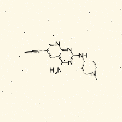 CC#Cc1cnc2nc(NC3CCN(C)CC3)nc(N)c2c1